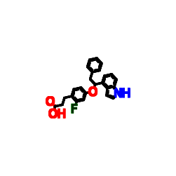 O=C(O)CCc1ccc(OC(Cc2ccccc2)c2cccc3[nH]ccc23)cc1F